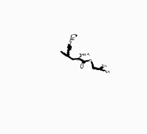 CCC(CC)COC(=O)[C@@H](N)CC(C)C#P=O